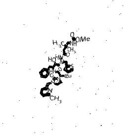 CCC(C)C(C(=O)NC(Cc1ccccc1)C(O)CN(Cc1cccs1)NC(=O)CC(C)(C)CNC(=O)OC)N1CCN(Cc2cccc(C)n2)C1=O